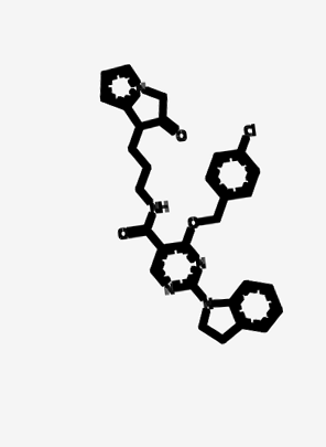 O=C(NCCCC1C(=O)Cn2cccc21)c1cnc(N2CCc3ccccc32)nc1OCc1ccc(Cl)cc1